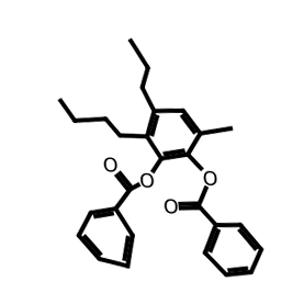 CCCCc1c(CCC)cc(C)c(OC(=O)c2ccccc2)c1OC(=O)c1ccccc1